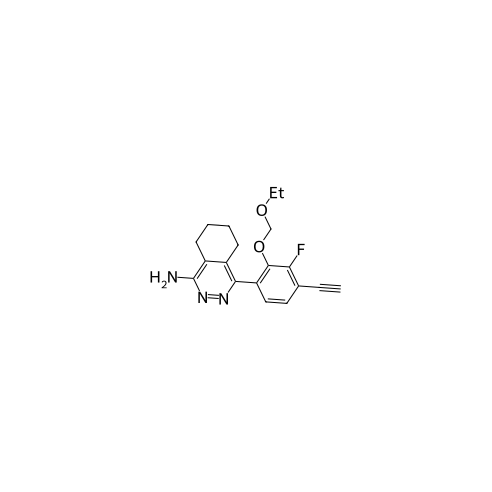 C#Cc1ccc(-c2nnc(N)c3c2CCCC3)c(OCOCC)c1F